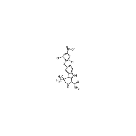 CC1(C)CNC(C(N)=O)c2[nH]c3ccc(Oc4c(Cl)cc([N+](=O)[O-])cc4Cl)cc3c21